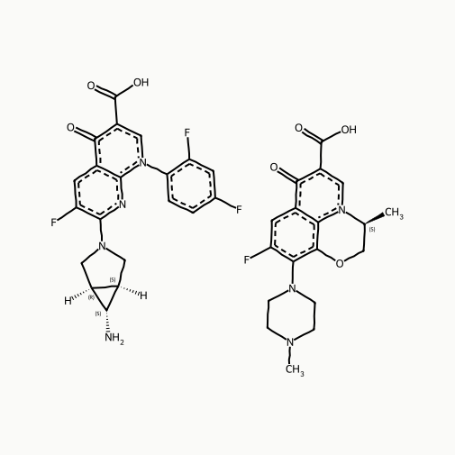 C[C@H]1COc2c(N3CCN(C)CC3)c(F)cc3c(=O)c(C(=O)O)cn1c23.N[C@@H]1[C@H]2CN(c3nc4c(cc3F)c(=O)c(C(=O)O)cn4-c3ccc(F)cc3F)C[C@@H]12